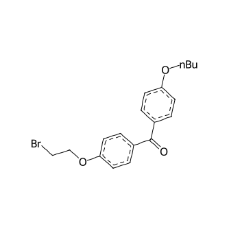 CCCCOc1ccc(C(=O)c2ccc(OCCBr)cc2)cc1